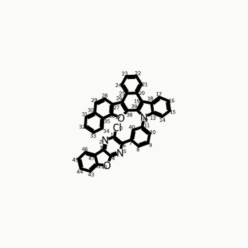 Clc1nc2c(nc1-c1cccc(-n3c4ccccc4c4c5ccccc5c5c6ccc7ccccc7c6oc5c43)c1)oc1ccccc12